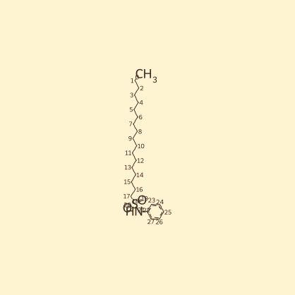 CCCCCCCCCCCCCCCCCCS(=O)(=O)Nc1c[c]ccc1